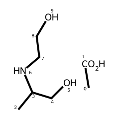 CC(=O)O.CC(CO)NCCO